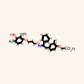 CCCc1c(OCCCON=C(Cc2ccc(OCC(=O)O)c(C)c2)c2ccccc2)ccc(C(C)=O)c1O